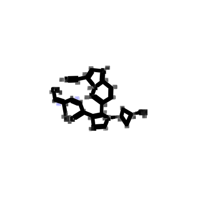 C=C(/C=C\C(F)=C/C)c1ncn([C@H]2C[C@@H](O)C2)c1-c1ccc2ncc(C#N)n2n1